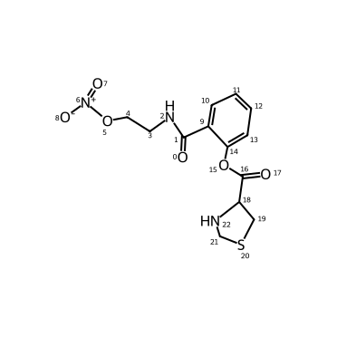 O=C(NCCO[N+](=O)[O-])c1ccccc1OC(=O)C1CSCN1